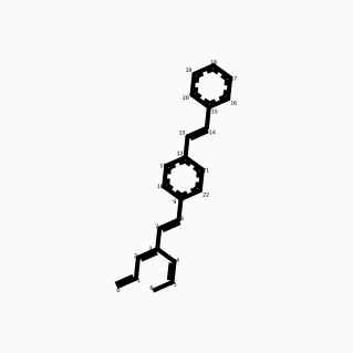 C=C/C=C(\C=C/C)/C=C/c1ccc(/C=C/c2ccccc2)cc1